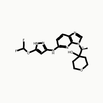 C[C@H](n1cnc2ccc(Nc3cc(OC(F)F)[nH]n3)nc21)C1(O)CCOCC1